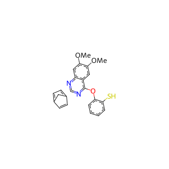 C1=CC2=CC=C1C2.COc1cc2ncnc(Oc3ccccc3S)c2cc1OC